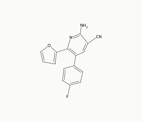 N#Cc1cc(-c2ccc(F)cc2)c(-c2ccco2)nc1N